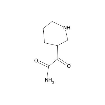 NC(=O)C(=O)C1CCCNC1